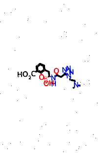 CN(C)CCn1nnnc1CC(=O)N[C@H]1Cc2cccc(C(=O)O)c2OB1O